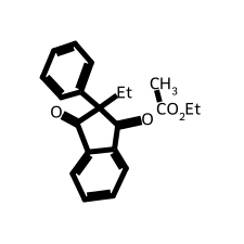 CCC1(c2ccccc2)C(=O)c2ccccc2C1=O.CCOC(C)=O